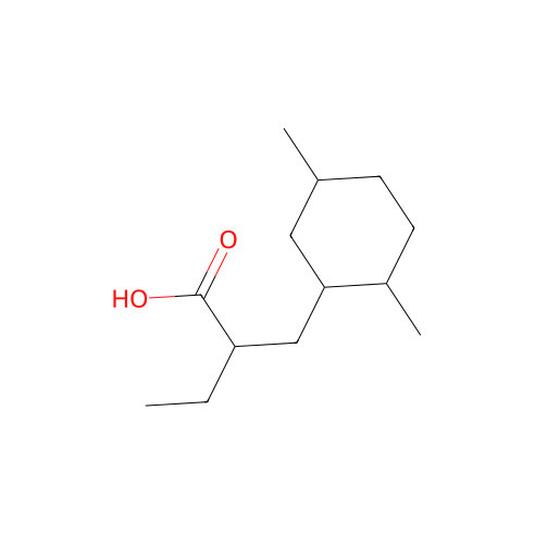 CCC(CC1CC(C)CCC1C)C(=O)O